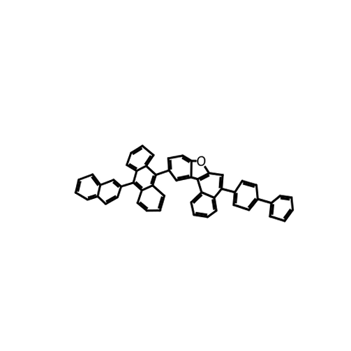 c1ccc(-c2ccc(-c3cc4oc5ccc(-c6c7ccccc7c(-c7ccc8ccccc8c7)c7ccccc67)cc5c4c4ccccc34)cc2)cc1